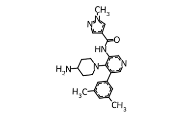 Cc1cc(C)cc(-c2cncc(NC(=O)c3cnn(C)c3)c2N2CCC(N)CC2)c1